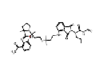 CCCC(C(=O)NC=O)N1C(=O)c2cccc(NCCC(C)(C)OCCC(C)(C)N3CCCC3(C)c3nc4c(C(N)=O)cccc4[nH]3)c2C1=O